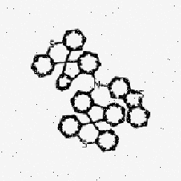 c1ccc2c(c1)Sc1ccccc1C21c2ccccc2-c2c(N(c3ccc4sc5ccccc5c4c3)c3cccc4c3-c3ccccc3C43c4ccccc4Sc4ccccc43)cccc21